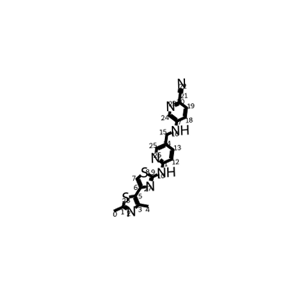 Cc1nc(C)c(-c2csc(Nc3ccc(CNc4ccc(C#N)nc4)cn3)n2)s1